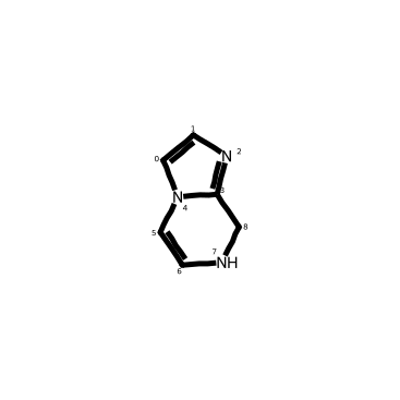 [c]1cnc2n1C=CNC2